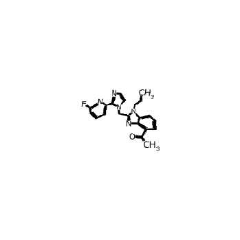 CCCn1c(Cn2ccnc2-c2cccc(F)n2)nc2c(C(C)=O)cccc21